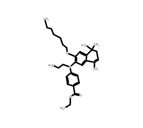 CCCCCCCOc1cc2c(cc1N(CCC)c1ccc(C(=O)OCC)cc1)C(C)=CCC2(C)C